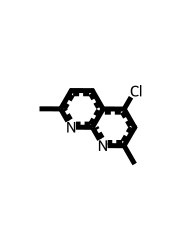 Cc1ccc2c(Cl)cc(C)nc2n1